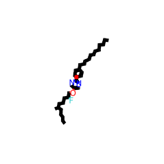 CCCCCCCCCCCCc1ccc(-c2ncc(OCC(F)CCCC(C)CCCCC)cn2)cc1